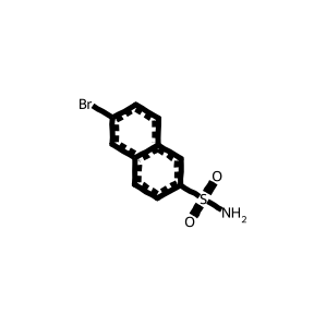 NS(=O)(=O)c1ccc2cc(Br)ccc2c1